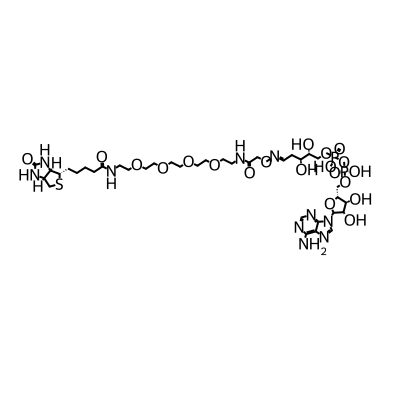 Nc1ncnc2c1ncn2C1O[C@H](COP(=O)(O)OP(=O)(O)OC[C@@H](O)[C@@H](O)C/C=N/OCC(=O)NCCOCCOCCOCCOCCNC(=O)CCCC[C@@H]2SC[C@@H]3NC(=O)N[C@@H]32)[C@@H](O)[C@H]1O